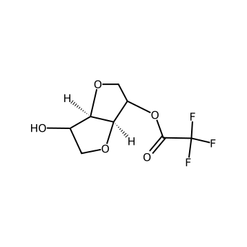 O=C(OC1CO[C@@H]2C(O)CO[C@H]12)C(F)(F)F